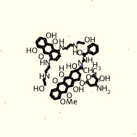 COc1cccc2c1C(=O)c1c(O)c3c(c(O)c1C2=O)C[C@@](O)(/C(C)=N/NC(=O)c1ccccc1)C[C@@H]3O[C@H]1C[C@H](N)[C@H](O)[C@H](C)O1.O=C1c2c(O)ccc(O)c2C(=O)c2c(NCCNCCO)ccc(NCCNCCO)c21